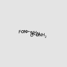 Nc1ccc(/C=C/C(=O)NCCC2C3CN(c4ccc(F)cc4)CC23)cn1